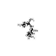 CS[C@H](COPOC[C@H]1[C@H](F)[C@H](n2cnc3c(N)ncnc32)O[C@@H]1COP)[C@@H](F)[C@@H](OS)n1cnc2c(=O)[nH]c(N)nc21